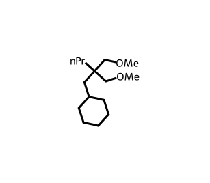 CCCC(COC)(COC)CC1CCCCC1